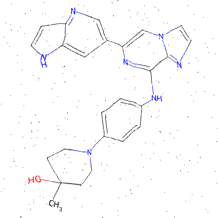 CC1(O)CCN(c2ccc(Nc3nc(-c4cnc5cc[nH]c5c4)cn4ccnc34)cc2)CC1